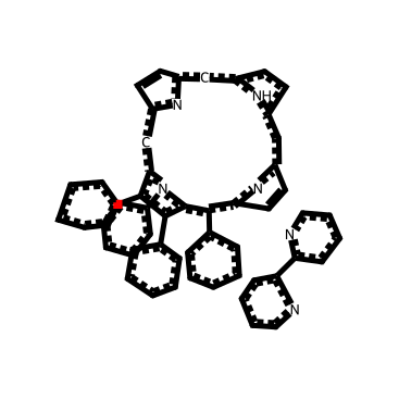 C1=Cc2cc3c(-c4ccccc4)c(-c4ccccc4)c(c(-c4ccccc4)c4nc(cc5ccc(cc1n2)[nH]5)C=C4)n3-c1ccccc1.c1ccc(-c2ccccn2)nc1